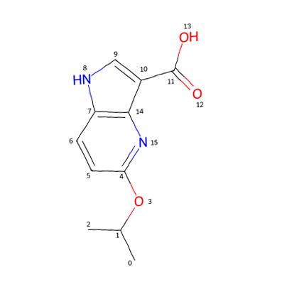 CC(C)Oc1ccc2[nH]cc(C(=O)O)c2n1